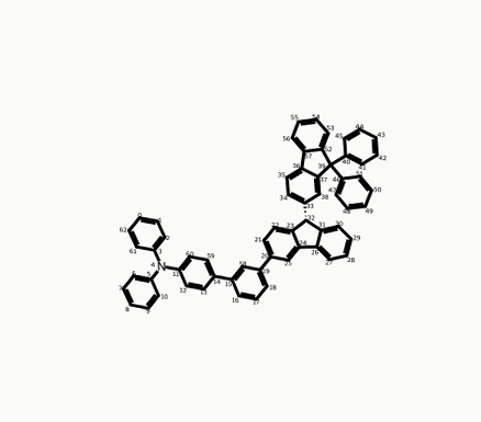 c1ccc(N(c2ccccc2)c2ccc(-c3cccc(-c4ccc5c(c4)-c4ccccc4[C@H]5c4ccc5c(c4)C(c4ccccc4)(c4ccccc4)c4ccccc4-5)c3)cc2)cc1